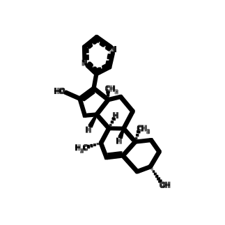 C[C@H]1C=C2C[C@@H](O)CC[C@]2(C)[C@H]2CC[C@]3(C)C(c4cnccn4)=C(O)C[C@H]3[C@H]12